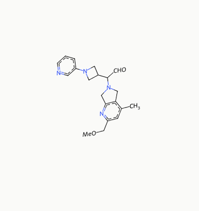 COCc1cc(C)c2c(n1)CN(C(C=O)C1CN(c3cccnc3)C1)C2